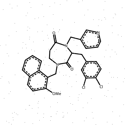 COc1ccc2ccccc2c1CN1CCC(=O)N(Cc2cccnc2)C(Cc2ccc(Cl)c(Cl)c2)C1=O